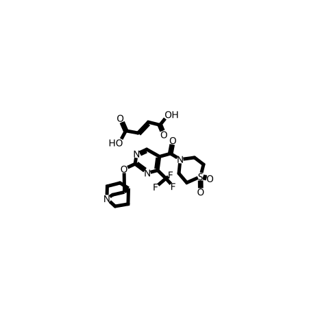 O=C(O)C=CC(=O)O.O=C(c1cnc(OC2CN3CCC2CC3)nc1C(F)(F)F)N1CCS(=O)(=O)CC1